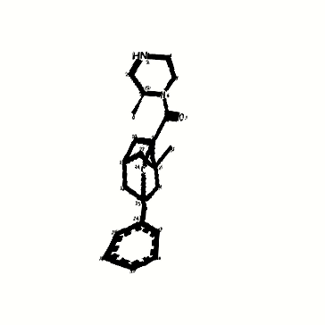 C[C@H]1CNCCN1C(=O)C12CC3CC(c4ccccc4)(CC1(C)C3)C2